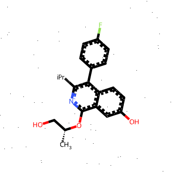 CC(C)c1nc(O[C@H](C)CO)c2cc(O)ccc2c1-c1ccc(F)cc1